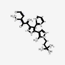 C=C(/C(Cl)=C(\C=C/Cl)OC)c1noc(-c2cnn(CCC(C)(C)O)c2C)c1-c1ncccn1